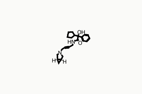 O=C(NCC#CCN1C[C@H]2C[C@H]2C1)C(O)(c1ccccc1)C1CCCC1